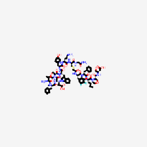 CCCC[C@@H](C(=O)N1CCOC[C@@H]1C(=O)N[C@H](C=O)CC(=O)O)N(C)C(=O)[C@H](Cc1ccccc1)N(C)C(=O)[C@H](Cc1cc(F)c(F)c(F)c1)NC(=O)CSC[C@H](NC(=O)[C@H](CCCN)NC(=O)[C@H](Cc1ccc(O)cc1)NC(=O)[C@H](Cc1c[nH]c2ccccc12)NC(=O)[C@H]1COCCN1C(=O)[C@H](CCC(=O)O)NC(=O)[C@H](Cc1ccccc1)N(C)C(=O)[C@@H](N)C(C)C)C(=O)NCC(N)=O